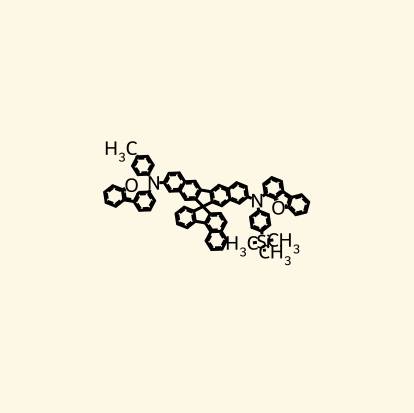 Cc1ccc(N(c2ccc3cc4c(cc3c2)C2(c3cc5cc(N(c6ccc([Si](C)(C)C)cc6)c6cccc7c6oc6ccccc67)ccc5cc3-4)c3ccccc3-c3c2ccc2ccccc32)c2cccc3c2oc2ccccc23)cc1